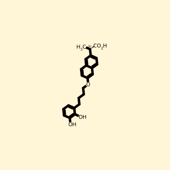 C[C@H](C(=O)O)c1ccc2cc(OCCCCc3cccc(O)c3O)ccc2c1